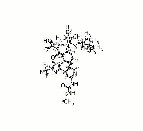 CCNC(=O)Nc1cc(-c2nc(C(F)(F)F)cs2)c(-c2ccc3c(c2)c(=O)c(C(=O)O)cn3[C@H](CO[Si](C)(C)C(C)(C)C)C(C)(C)C)cn1